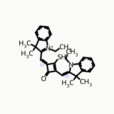 CCN1/C(=C\C2=C(S)C(=C\C3=[N+](CC)c4ccccc4C3(C)C)/C2=O)C(C)(C)c2ccccc21